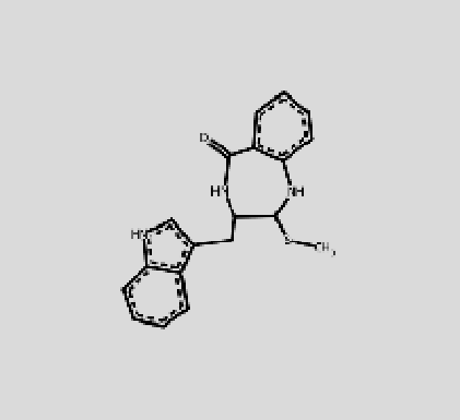 CSC1Nc2ccccc2C(=O)NC1Cc1c[nH]c2ccccc12